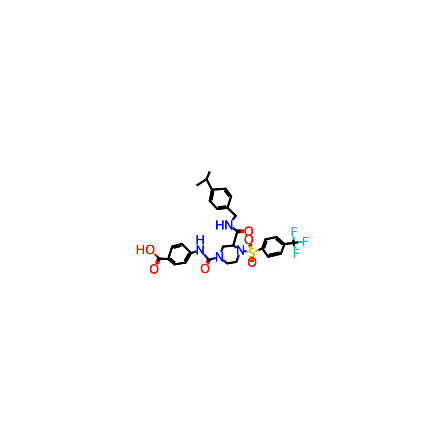 CC(C)c1ccc(CNC(=O)C2CN(C(=O)Nc3ccc(C(=O)O)cc3)CCN2S(=O)(=O)c2ccc(C(F)(F)F)cc2)cc1